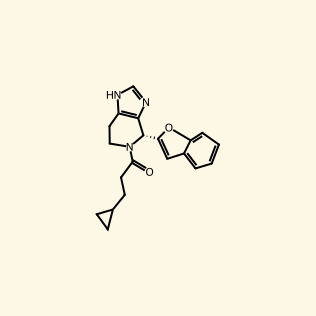 O=C(CCC1CC1)N1CCc2[nH]cnc2[C@@H]1c1cc2ccccc2o1